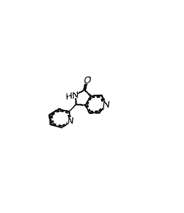 O=C1NC(c2ccccn2)c2ccncc21